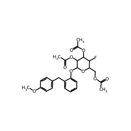 COc1ccc(Cc2ccccc2OC2OC(COC(C)=O)C(F)C(OC(C)=O)C2OC(C)=O)cc1